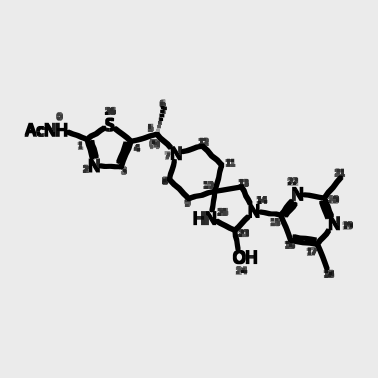 CC(=O)Nc1ncc([C@H](C)N2CCC3(CC2)CN(c2cc(C)nc(C)n2)C(O)N3)s1